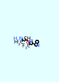 CC(CN)CC(C)COc1ncc(-c2ccnc3ccccc23)cc1C(F)(F)F